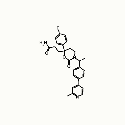 Cc1cc(-c2ccc([C@H](C)N3CCC(CCC(N)=O)(c4ccc(F)cc4)OC3=O)cc2)ccn1